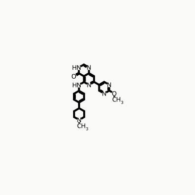 COc1ncc(-c2cc3nc[nH]c(=O)c3c(Nc3ccc(C4CCN(C)CC4)cc3)n2)cn1